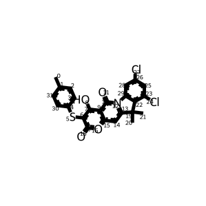 Cc1ccc(Sc2c(O)c3c(=O)n4c(cc3oc2=O)C(C)(C)c2c(Cl)cc(Cl)cc2-4)cc1